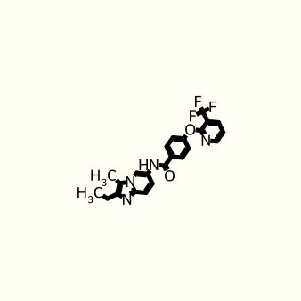 CCc1nc2ccc(NC(=O)c3ccc(Oc4ncccc4C(F)(F)F)cc3)cn2c1C